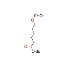 CC(C)COC(=O)CCCCCOC=O